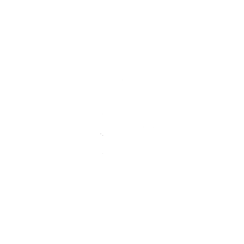 COc1cc(C(=O)O)c2c(c1C)OC(=O)c1c(C)cc(O)c(C(N)C(C)(C)C)c1O2